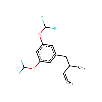 C=C[C](C)Cc1cc(OC(F)F)cc(OC(F)F)c1